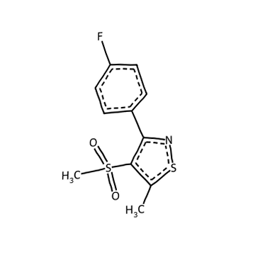 Cc1snc(-c2ccc(F)cc2)c1S(C)(=O)=O